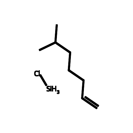 C=CCCCC(C)C.[SiH3]Cl